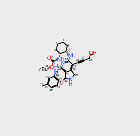 CCCCOC(=O)N[C@H]1CCCC[C@H]1Nc1nc(Nc2cccc(C)c2)c2c(c1C#CCO)CNC2=O